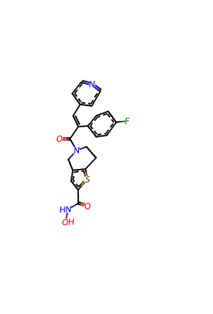 O=C(NO)c1cc2c(s1)CCN(C(=O)C(=Cc1ccncc1)c1ccc(F)cc1)C2